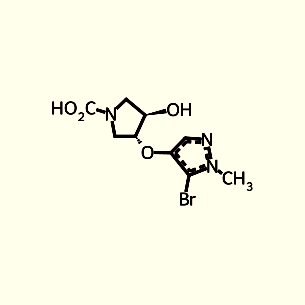 Cn1ncc(O[C@@H]2CN(C(=O)O)C[C@H]2O)c1Br